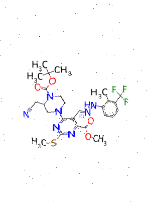 COC(=O)c1nc(SC)nc(N2CCN(C(=O)OC(C)(C)C)C(CC#N)C2)c1/C=N/Nc1cccc(C(F)(F)F)c1C